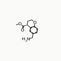 COC(=O)[C@H]1CCOc2ccc(CN)cc21